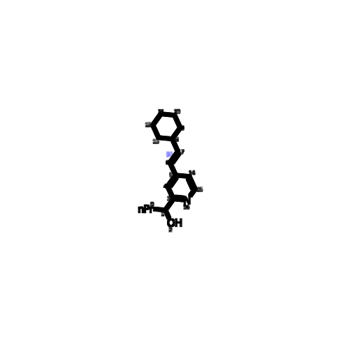 CCCC(O)c1cc(/C=C/C2CCCCC2)ccn1